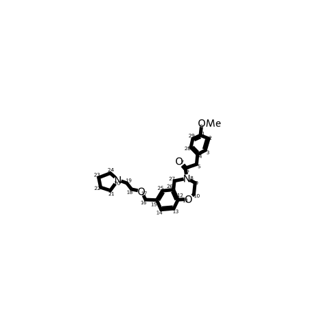 COc1ccc(CC(=O)N2CCOc3ccc(COCCN4CCCC4)cc3C2)cc1